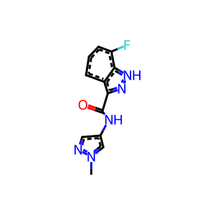 Cn1cc(NC(=O)c2n[nH]c3c(F)cccc23)cn1